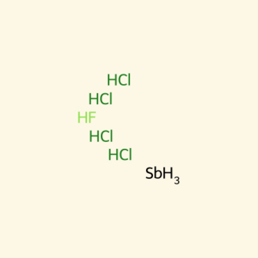 Cl.Cl.Cl.Cl.F.[SbH3]